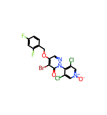 O=c1c(Br)c(OCc2ccc(F)cc2F)cnn1-c1c(Cl)c[n+]([O-])cc1Cl